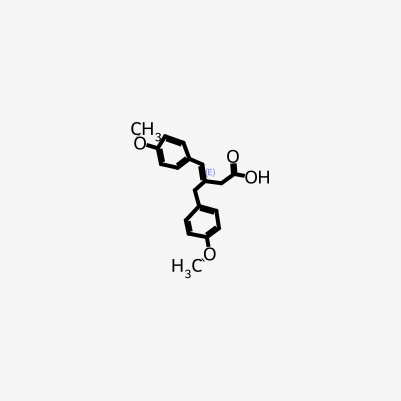 COc1ccc(/C=C(/CC(=O)O)Cc2ccc(OC)cc2)cc1